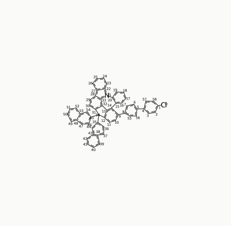 Clc1ccc(-c2ccc(-c3ccc4c5c3-c3ccccc3-n3c6ccccc6c6ccc(c-5c63)C4(c3ccc4ccccc4c3)c3ccc4ccccc4c3)cc2)cc1